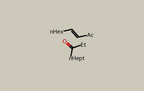 CCCCCCC=CC(C)=O.CCCCCCCC(=O)CC